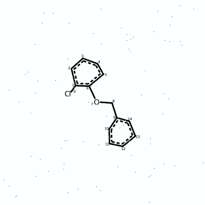 Clc1[c]cccc1OCc1ccccc1